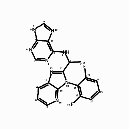 CC(Nc1ncnc2[nH]cnc12)c1nc2cccnc2n1-c1c(F)cccc1F